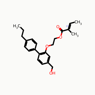 C/C=C(\C)C(=O)OCCOc1cc(CO)ccc1-c1ccc(CCC)cc1